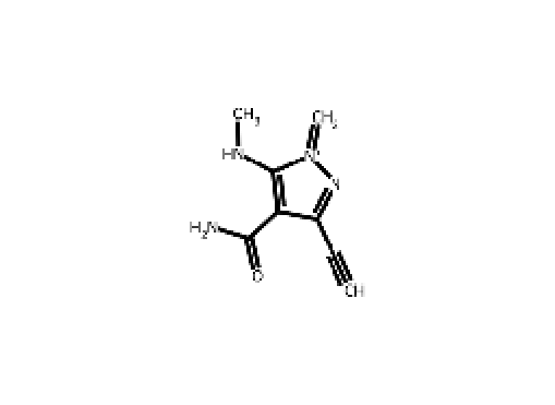 C#CC1=N[N+](=C)C(NC)=C1C(N)=O